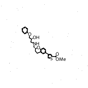 COC(=O)c1cc(-c2ccc3c(c2)CC[C@@H](CNC[C@H](O)COc2ccccc2)O3)cs1